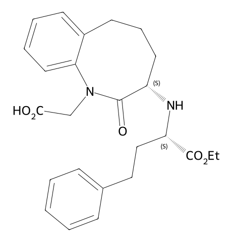 CCOC(=O)[C@H](CCc1ccccc1)N[C@H]1CCCc2ccccc2N(CC(=O)O)C1=O